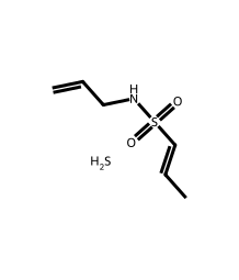 C=CCNS(=O)(=O)C=CC.S